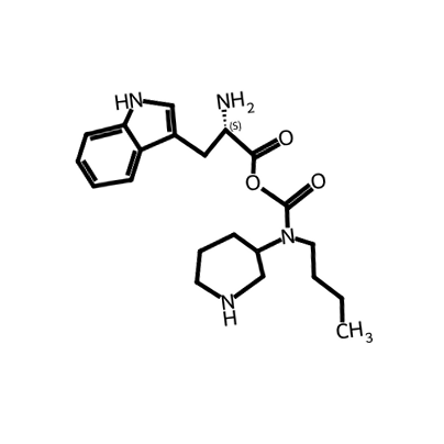 CCCCN(C(=O)OC(=O)[C@@H](N)Cc1c[nH]c2ccccc12)C1CCCNC1